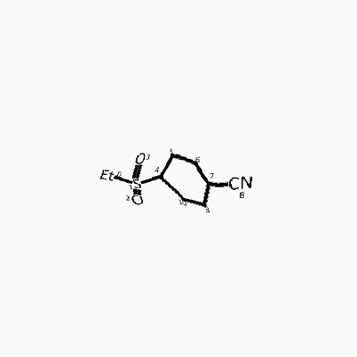 CCS(=O)(=O)C1CCC(C#N)CC1